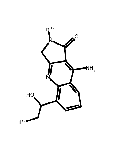 CCCN1Cc2nc3c(C(O)CC(C)C)cccc3c(N)c2C1=O